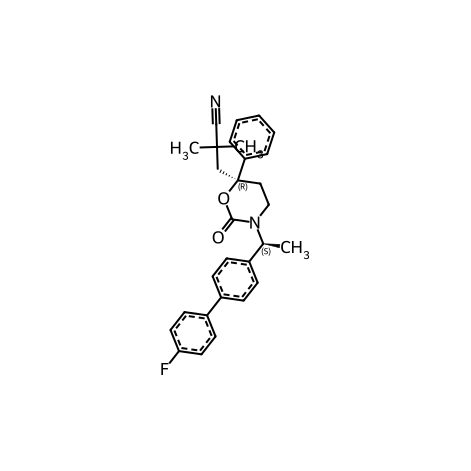 C[C@@H](c1ccc(-c2ccc(F)cc2)cc1)N1CC[C@](CC(C)(C)C#N)(c2ccccc2)OC1=O